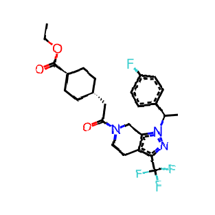 CCOC(=O)[C@H]1CC[C@H](CC(=O)N2CCc3c(C(F)(F)F)nn(C(C)c4ccc(F)cc4)c3C2)CC1